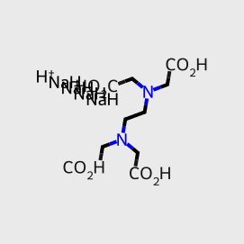 O=C(O)CN(CCN(CC(=O)O)CC(=O)O)CC(=O)O.[H+].[NaH].[NaH].[NaH].[NaH]